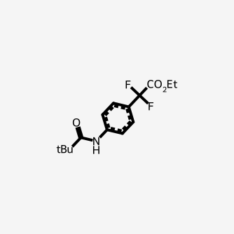 CCOC(=O)C(F)(F)c1ccc(NC(=O)C(C)(C)C)cc1